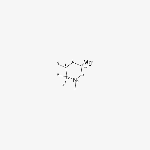 CC1CCCN(C)C1(C)C.[Mg]